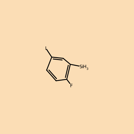 Fc1ccc(I)cc1[SiH3]